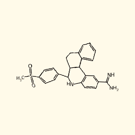 CS(=O)(=O)c1ccc(C2Nc3ccc(C(=N)N)cc3C3c4ccccc4CCC23)cc1